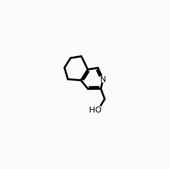 OCc1cc2c(cn1)CCCC2